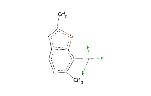 Cc1cc2ccc(C)c(C(F)(F)F)c2s1